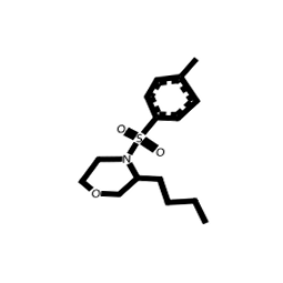 CCCCC1COCCN1S(=O)(=O)c1ccc(C)cc1